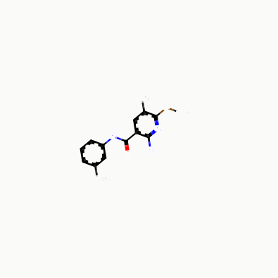 CCCCCSc1nc(N)c(C(=O)Nc2cccc(OC)c2)cc1C#N